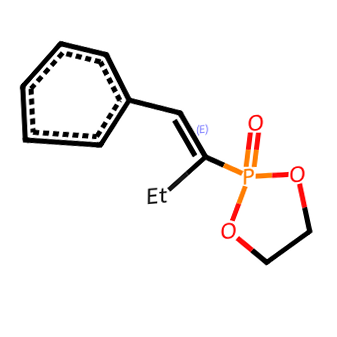 CC/C(=C\c1ccccc1)P1(=O)OCCO1